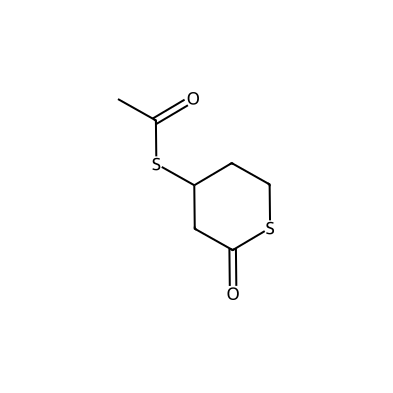 CC(=O)SC1CCSC(=O)C1